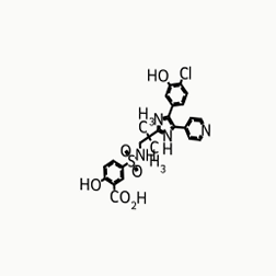 CC(C)(CNS(=O)(=O)c1ccc(O)c(C(=O)O)c1)c1nc(-c2ccc(Cl)c(O)c2)c(-c2ccncc2)[nH]1